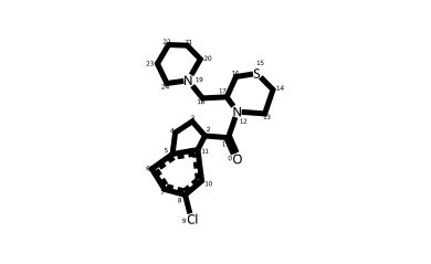 O=C(C1CCc2ccc(Cl)cc21)N1CCSCC1CN1CCCCC1